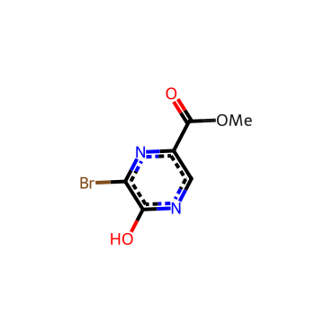 COC(=O)c1cnc(O)c(Br)n1